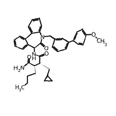 CCCC[C@H](C(N)=O)[C@@H](CC1CC1)C(=O)NC1C(=O)N(Cc2cccc(-c3ccc(OC)cc3)c2)c2ccccc2-c2ccccc21